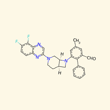 Cc1cc(C=O)c(-c2ccccc2)c(N2C[C@H]3CCN(c4cnc5c(F)c(F)ccc5n4)C[C@H]32)c1